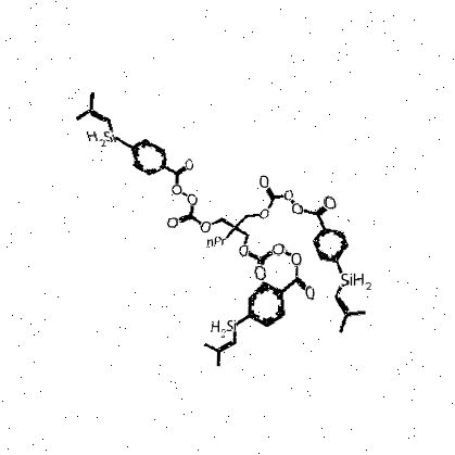 CCCC(COC(=O)OOC(=O)c1ccc([SiH2]C=C(C)C)cc1)(COC(=O)OOC(=O)c1ccc([SiH2]C=C(C)C)cc1)COC(=O)OOC(=O)c1ccc([SiH2]C=C(C)C)cc1